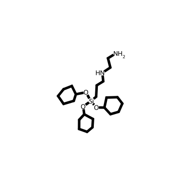 NCCNCCC[Si](OC1CCCCC1)(OC1CCCCC1)OC1CCCCC1